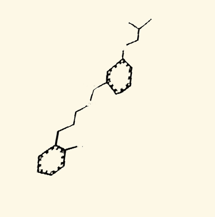 CC(C)COc1cccc([C@@H](C)NCCCc2ccccc2Cl)c1